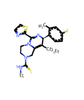 CCNC(=S)N1CCN2C(c3nccs3)=N[C@@H](c3ccc(F)cc3C)C(C(=O)OCC)=C2C1